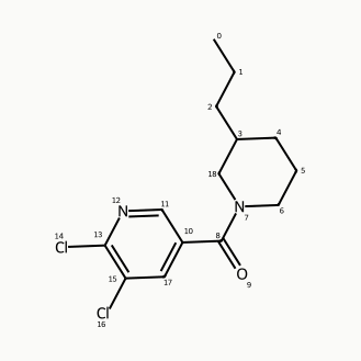 CCCC1CCCN(C(=O)c2cnc(Cl)c(Cl)c2)C1